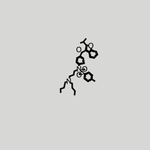 CCCCN(CCCC)CCCN(c1ccc(C(=O)c2c(C(C)C)oc3ccccc23)cc1)S(=O)(=O)c1ccc(C)cc1